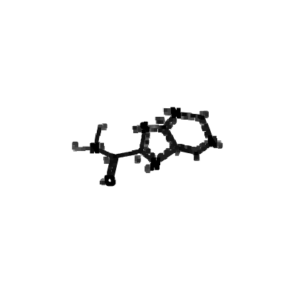 CN(C)C(=O)c1nc2cncnc2s1